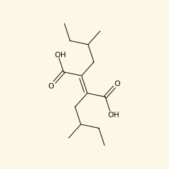 CCC(C)C/C(C(=O)O)=C(/CC(C)CC)C(=O)O